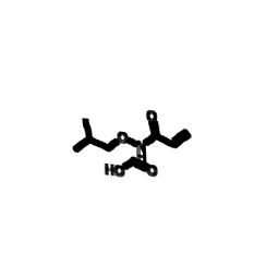 C=CC(=O)NOCC(C)C.O=CO